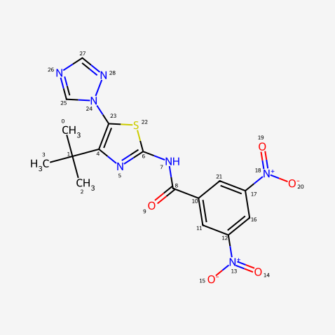 CC(C)(C)c1nc(NC(=O)c2cc([N+](=O)[O-])cc([N+](=O)[O-])c2)sc1-n1cncn1